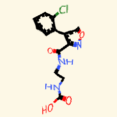 O=C(O)NCCNC(=O)c1nocc1-c1ccccc1Cl